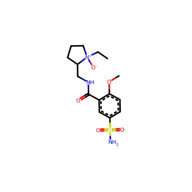 CC[N+]1([O-])CCCC1CNC(=O)c1cc(S(N)(=O)=O)ccc1OC